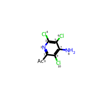 CC(=O)c1nc(Cl)c(Cl)c(N)c1Cl